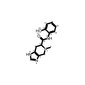 CN1Cc2nc[nH]c2CC1C(=O)Nc1ccccc1O